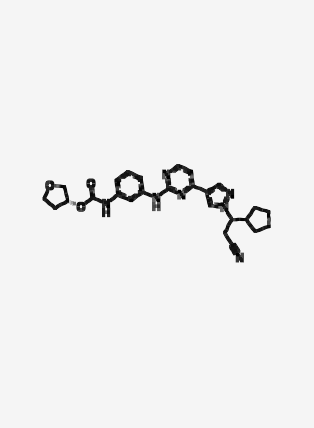 N#CCC(C1CCCC1)n1cc(-c2ccnc(Nc3cccc(NC(=O)O[C@@H]4CCOC4)c3)n2)cn1